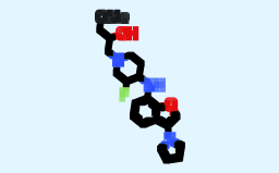 COCC(O)CN1CCC(Nc2cccc3c(-n4cccc4)coc23)C(F)C1